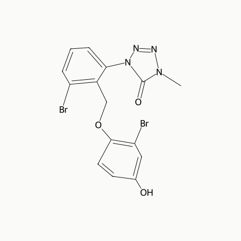 Cn1nnn(-c2cccc(Br)c2COc2ccc(O)cc2Br)c1=O